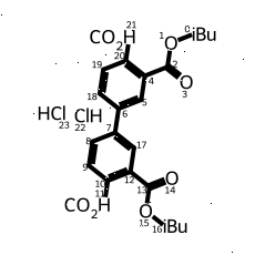 CCC(C)OC(=O)c1cc(-c2ccc(C(=O)O)c(C(=O)OC(C)CC)c2)ccc1C(=O)O.Cl.Cl